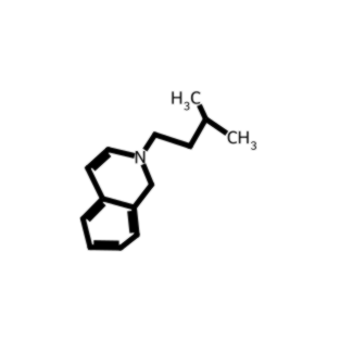 CC(C)CCN1C=Cc2ccccc2C1